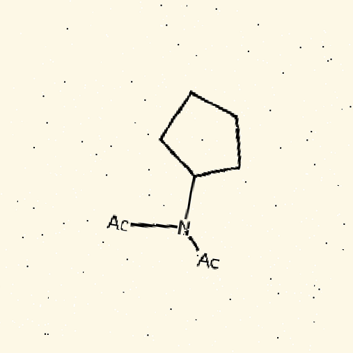 CC(=O)N(C(C)=O)C1CCCC1